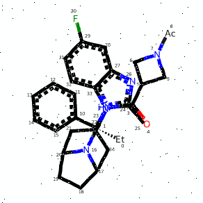 CC[C@@](NC(=O)C1CN(C(C)=O)C1)(c1ccccc1)N1C2CCC1CC(n1c(C)nc3cc(F)ccc31)C2